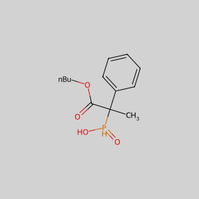 CCCCOC(=O)C(C)(c1ccccc1)[PH](=O)O